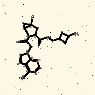 CC1CC(CNC(=O)[C@@H]2C[C@H]3CC3N2C(=O)Cn2cnc3c(N)ncnc32)C1